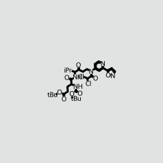 CC(C)C(NC(=O)C(CCC(=O)OC(C)(C)C)NC(=O)OC(C)(C)C)C(=O)CCN(C(=O)C(Cl)Cl)c1ccnc(-c2ccno2)c1